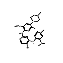 COc1cc(N2CCN(C)CC2)c(C)cc1Nc1ncc(Br)c(Nc2ccc(C)cc2P(C)C)n1